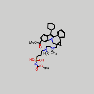 COC(=O)c1ccc2c(C3CCCCC3)c3n(c2c1)CC1(CN(C)CCN(C)CCCS(O)(O)NC(=O)OC(C)(C)C)CC1c1ccccc1-3